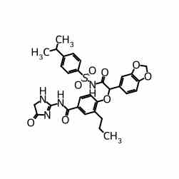 CCCc1cc(C(=O)NC2=NC(=O)CN2)ccc1OC(C(=O)NS(=O)(=O)c1ccc(C(C)C)cc1)c1ccc2c(c1)OCO2